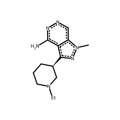 CCN1CCC[C@@H](c2nn(C)c3cnnc(N)c23)C1